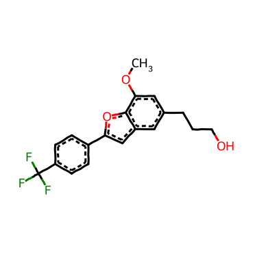 COc1cc(CCCO)cc2cc(-c3ccc(C(F)(F)F)cc3)oc12